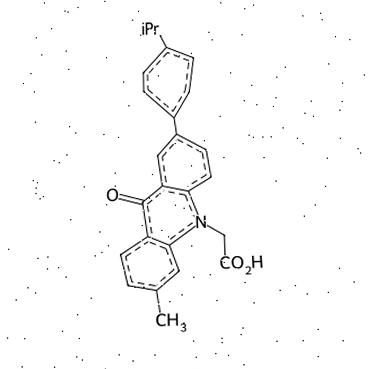 Cc1ccc2c(=O)c3cc(-c4ccc(C(C)C)cc4)ccc3n(CC(=O)O)c2c1